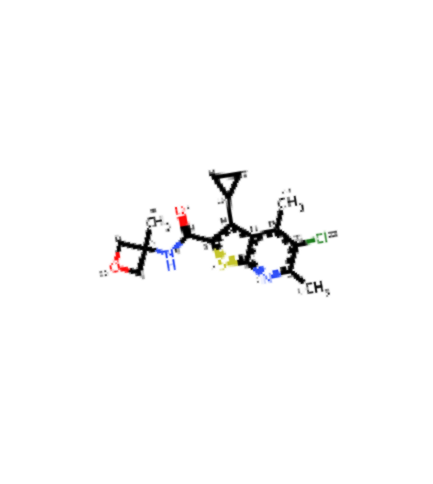 Cc1nc2sc(C(=O)NC3(C)COC3)c(C3CC3)c2c(C)c1Cl